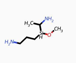 CO[SiH](CCCN)C(C)N